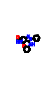 O=C1Cc2nn(-c3ccccc3)c(NC3CCCCC3)c2C(=O)N1